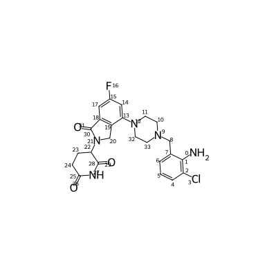 Nc1c(Cl)cccc1CN1CCN(c2cc(F)cc3c2CN(C2CCC(=O)NC2=O)C3=O)CC1